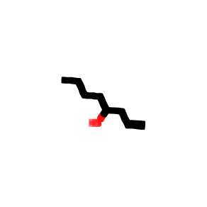 C=C[CH]C(O)CCCC